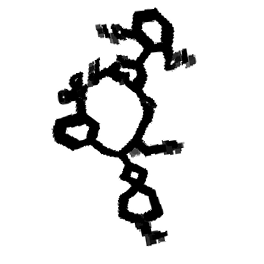 Cc1cccc(C)c1-c1cc2nc(n1)NS(=O)(=O)c1cccc(c1)CC(C1CC3(CCN(C(C)C)CC3)C1)[C@H](CC(C)C)CO2